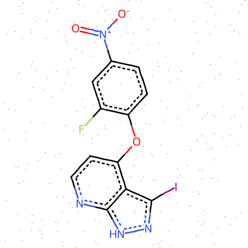 O=[N+]([O-])c1ccc(Oc2ccnc3[nH]nc(I)c23)c(F)c1